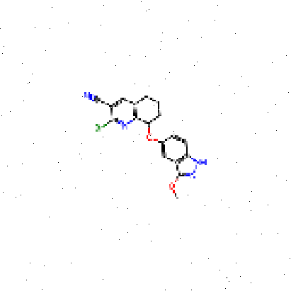 COc1n[nH]c2ccc(O[C@@H]3CCCc4cc(C#N)c(Br)nc43)cc12